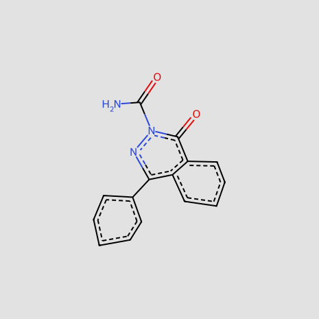 NC(=O)n1nc(-c2ccccc2)c2ccccc2c1=O